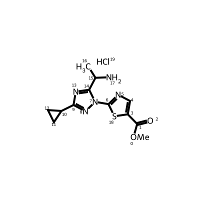 COC(=O)c1cnc(-n2nc(C3CC3)nc2C(C)N)s1.Cl